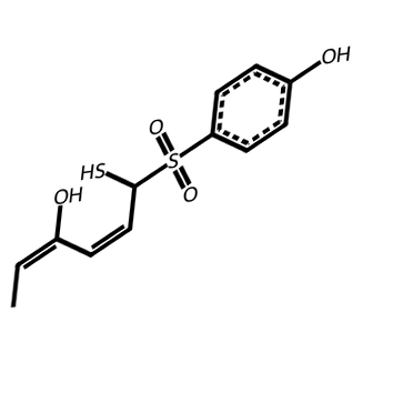 C/C=C(O)\C=C/C(S)S(=O)(=O)c1ccc(O)cc1